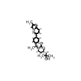 Cc1cn2nc(-c3ccc([C@H](C)N4CC[C@@H](CC(C)(C)O)OC4=O)cc3)ccc2n1